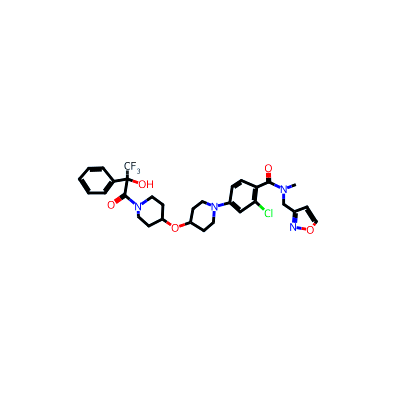 CN(Cc1ccon1)C(=O)c1ccc(N2CCC(OC3CCN(C(=O)C(O)(c4ccccc4)C(F)(F)F)CC3)CC2)cc1Cl